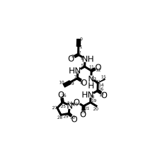 C#CC(=O)NC(NC(=O)C#C)C(=O)N[C@@H](C)C(=O)NC(C)C(=O)ON1C(=O)CCC1=O